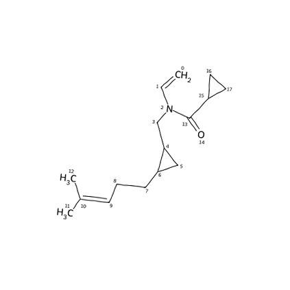 C=CN(CC1CC1CCC=C(C)C)C(=O)C1CC1